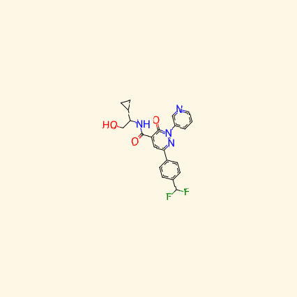 O=C(NC(CO)C1CC1)c1cc(-c2ccc(C(F)F)cc2)nn(-c2cccnc2)c1=O